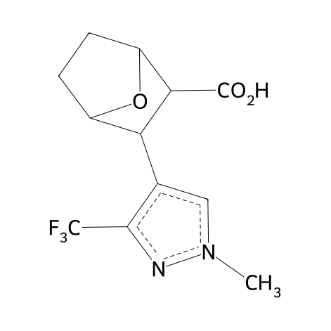 Cn1cc(C2C3CCC(O3)C2C(=O)O)c(C(F)(F)F)n1